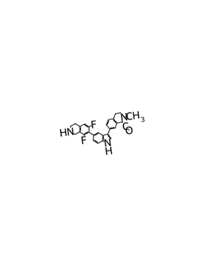 CN1CCc2ccc(-c3c[nH]c4ccc(-c5c(F)cc6c(c5F)CNCC6)cc34)cc2C1=C=O